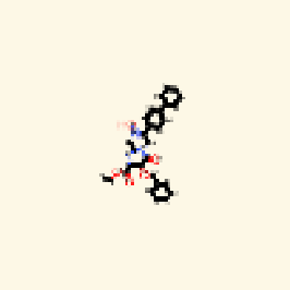 CCOC(=O)c1nc(C)n(C/C(=N/O)c2ccc(-c3ccccc3)cc2)c(=O)c1OCc1ccccc1